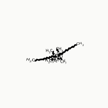 CCCCCCCCCCCCCC(OCCC)(OCCC)C(OC)OC(OC)C(CCCCCCCCCCCCC)(OCCC)OCCC